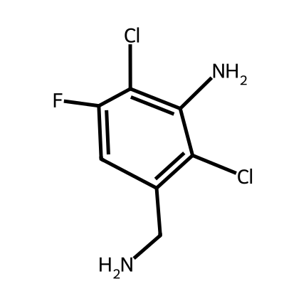 NCc1cc(F)c(Cl)c(N)c1Cl